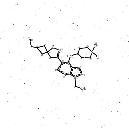 CCn1ncc2c(NC3CCS(O)(O)CC3)c(C3=NOC4(C3)CC(CN)C4)cnc21